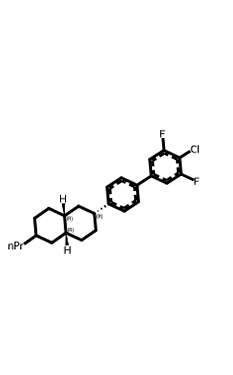 CCCC1CC[C@@H]2C[C@H](c3ccc(-c4cc(F)c(Cl)c(F)c4)cc3)CC[C@@H]2C1